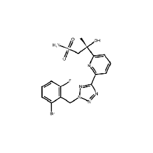 C[C@](O)(CS(N)(=O)=O)c1cccc(-c2nnn(Cc3c(F)cccc3Br)n2)n1